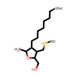 BC1OC(CO)C(CPN=O)C1CCCCCCCCCCCCCCCCC